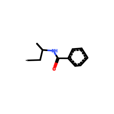 [CH2]CC(C)NC(=O)c1ccccc1